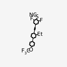 CCc1cc(-c2ccc(OC(F)(F)F)cc2)ccc1C#Cc1cc(F)c(SC#N)c(F)c1